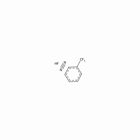 F.FC(F)(F)c1ccccc1.N#N